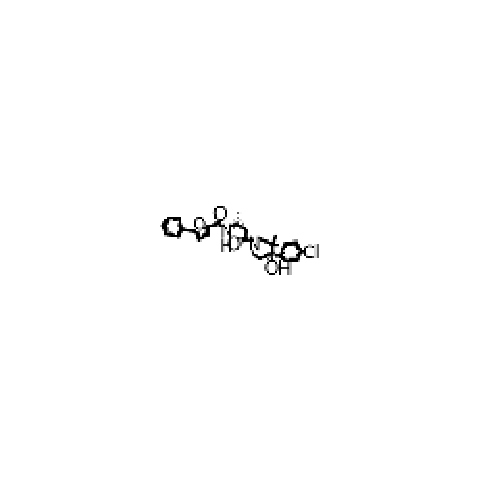 C[C@H](CC(=O)N1CC[C@](O)(c2ccc(Cl)cc2)C(C)(C)C1)NC(=O)c1ccc(-c2ccccc2)o1